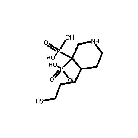 O=P(O)(O)C1(P(=O)(O)O)CNCCC1CCCS